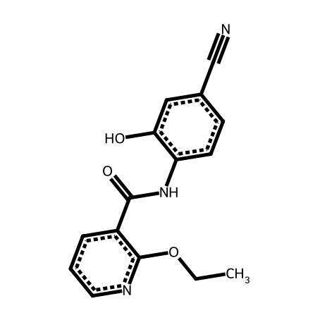 CCOc1ncccc1C(=O)Nc1ccc(C#N)cc1O